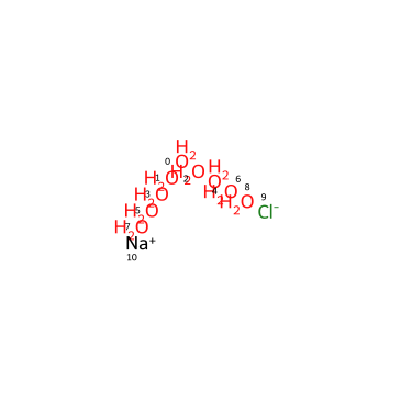 O.O.O.O.O.O.O.O.O.[Cl-].[Na+]